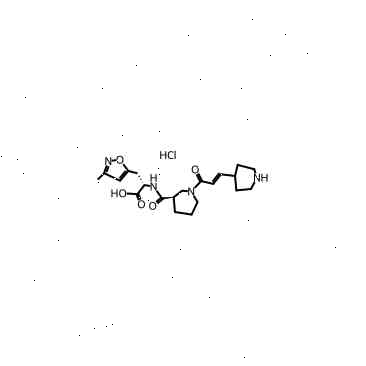 Cc1cc(C[C@H](NC(=O)[C@@H]2CCCN(C(=O)/C=C/C3CCNCC3)C2)C(=O)O)on1.Cl